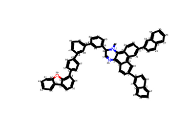 CN1c2c(c3ccc(-c4ccc5ccccc5c4)cc3c3cc(-c4ccc5ccccc5c4)ccc23)N=CC1c1cccc(-c2cccc(-c3ccc(-c4cccc5c4oc4ccccc45)cc3)c2)c1